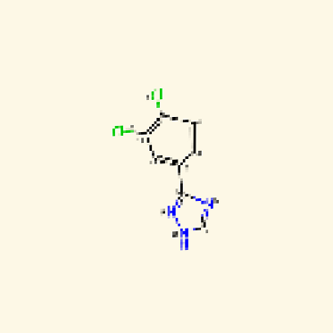 Clc1ccc(-c2nc[nH]n2)cc1Cl